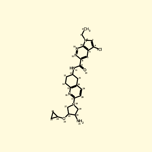 CCn1cc(Cl)c2cc(C(=O)NC3CCc4nc(N5CC(N)C(OC6CC6)C5)ccc4C3)nnc21